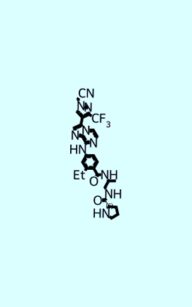 CCc1cc(Nc2nccn3c(-c4cn(CC#N)nc4C(F)(F)F)cnc23)ccc1C(=O)NC(C)CNC(=O)[C@@H]1CCCN1